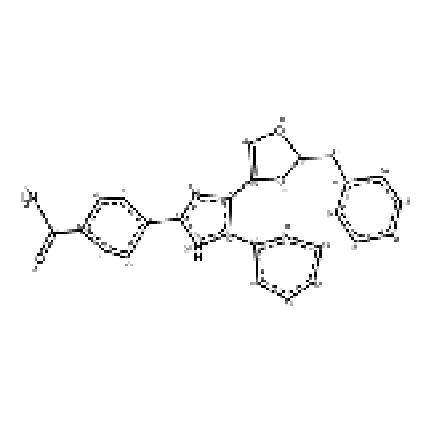 NC(=O)c1ccc(-c2nc(C3=COC(Cc4ccccc4)O3)c(-c3ccccn3)[nH]2)cc1